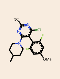 COc1cc(F)c(-c2c(Cl)nc(C#N)nc2N2CCC(C)CC2)c(F)c1